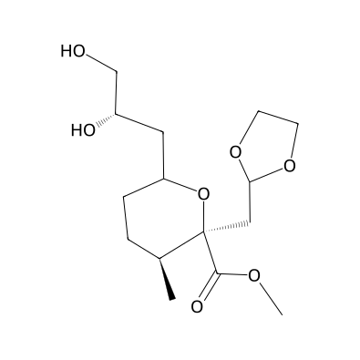 COC(=O)[C@]1(CC2OCCO2)OC(C[C@H](O)CO)CC[C@@H]1C